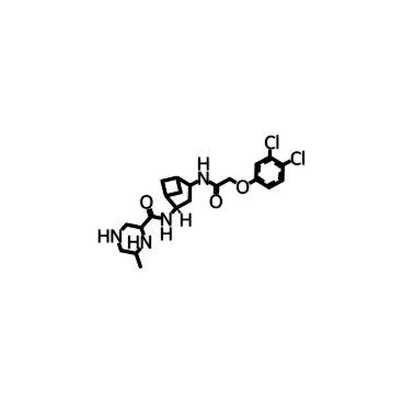 CC1CNCC(C(=O)N[C@@H]2CC(NC(=O)COc3ccc(Cl)c(Cl)c3)C3CC2C3)N1